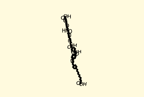 O=C(O)CCCCCCCCCc1ccc(CCOc2ccc(S(=O)(=O)Nc3ccc(C(=O)NCCOCCOCC(=O)NCCOCCOCC(=O)O)cn3)cc2)cc1